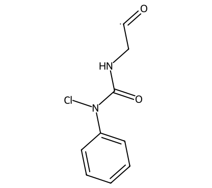 O=[C]CNC(=O)N(Cl)c1ccccc1